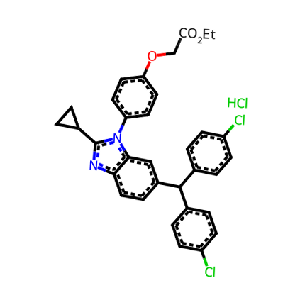 CCOC(=O)COc1ccc(-n2c(C3CC3)nc3ccc(C(c4ccc(Cl)cc4)c4ccc(Cl)cc4)cc32)cc1.Cl